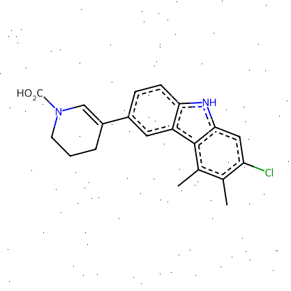 Cc1c(Cl)cc2[nH]c3ccc(C4=CN(C(=O)O)CCC4)cc3c2c1C